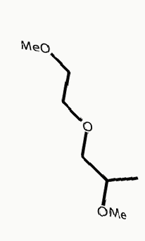 COCCOCC(C)OC